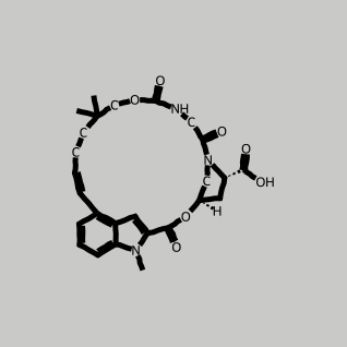 Cn1c2cc3c(cccc31)/C=C\CCC(C)(C)COC(=O)NCC(=O)N1C[C@@H](C[C@H]1C(=O)O)OC2=O